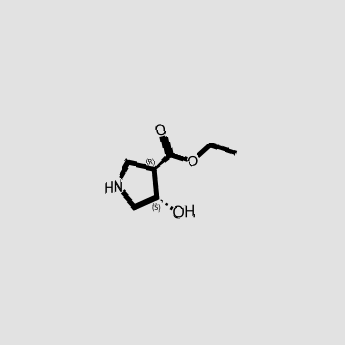 CCOC(=O)[C@@H]1CNC[C@H]1O